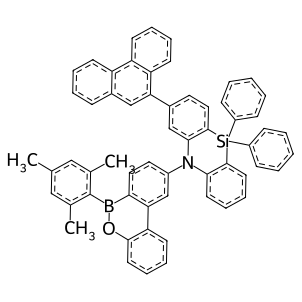 Cc1cc(C)c(B2Oc3ccccc3-c3cc(N4c5ccccc5[Si](c5ccccc5)(c5ccccc5)c5ccc(-c6cc7ccccc7c7ccccc67)cc54)ccc32)c(C)c1